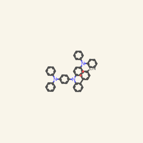 N#Cc1ccc(-c2ccccc2N(c2ccc(N(c3ccccc3)c3ccccc3)cc2)c2ccc(N(c3ccccc3)c3ccccc3)cc2)cc1